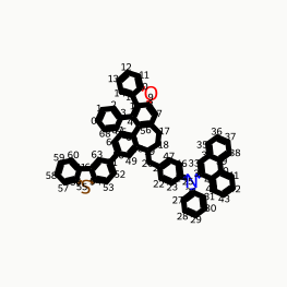 c1ccc(-c2c3c(cc4oc5ccccc5c24)CCC(Cc2ccc(N(c4ccccc4)c4cc5ccccc5c5ccccc45)cc2)c2cc(-c4ccc5sc6ccccc6c5c4)ccc2-3)cc1